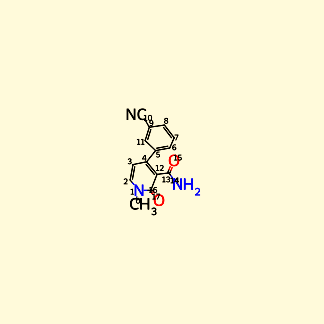 Cn1ccc(-c2cccc(C#N)c2)c(C(N)=O)c1=O